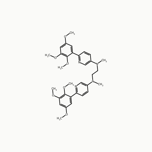 COc1cc(OC)c(OC)c(-c2ccc(N(C)CCN(C)c3ccc(-c4cc(OC)cc(OC)c4OC)nc3)cn2)c1